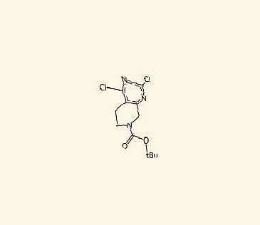 CC(C)(C)OC(=O)N1CCc2c(Cl)nc(Cl)nc2C1